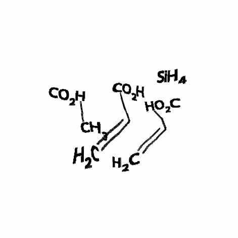 C=CC(=O)O.C=CC(=O)O.CC(=O)O.[SiH4]